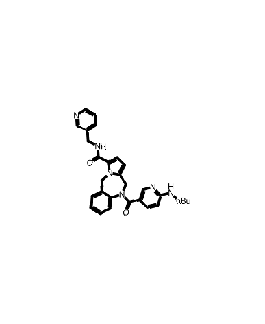 CCCCNc1ccc(C(=O)N2Cc3ccc(C(=O)NCc4cccnc4)n3Cc3ccccc32)cn1